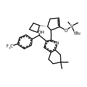 CC1(C)CCc2cc([C@H](O)c3ccc(C(F)(F)F)cc3)c(C3C(O[Si](C)(C)C(C)(C)C)=CC[C@H]3C3CCC3)nc2C1